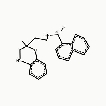 C[C@@H](NCCC1(C)CNc2ccccc2O1)c1cccc2ccccc12